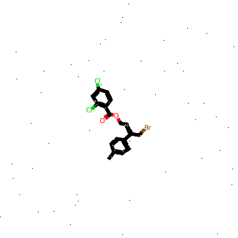 Cc1ccc(/C(=C\COC(=O)c2ccc(Cl)cc2Cl)CBr)cc1